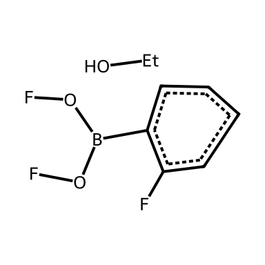 CCO.FOB(OF)c1ccccc1F